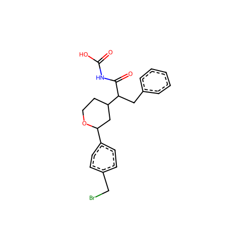 O=C(O)NC(=O)C(Cc1ccccc1)C1CCOC(c2ccc(CBr)cc2)C1